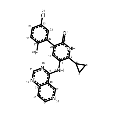 O=c1[nH]c(C2CC2)c(Nc2ncnc3ccncc23)cc1-c1cc(Cl)ccc1F